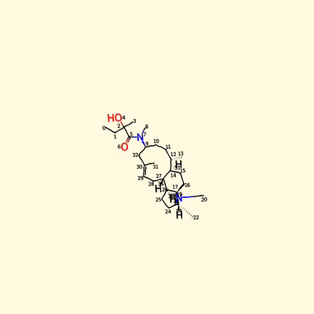 CCC(C)(O)C(=O)N(C)[C@H]1CC[C@H](C)[C@H]2CC[C@]34CN(C)[C@@H](C)[C@H]3CC[C@H]4[C@@H]2C/C=C(\C)C1